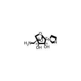 NC[C@@]12COC(O1)[C@H](n1ccnc1)[C@@H](O)[C@H]2O